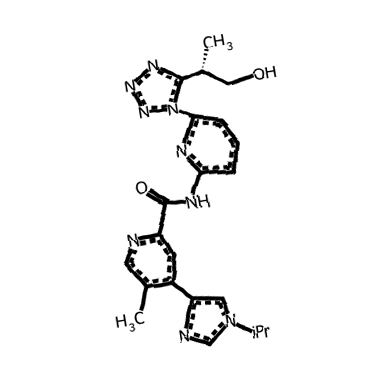 Cc1cnc(C(=O)Nc2cccc(-n3nnnc3[C@H](C)CO)n2)cc1-c1cn(C(C)C)cn1